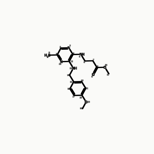 Bc1cnc(NCCC(=O)OC)c(NCc2ccc(OC)cc2)n1